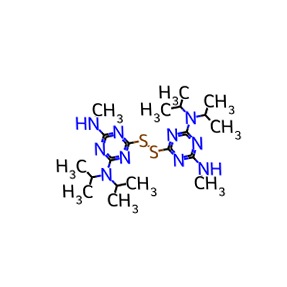 CNc1nc(SSc2nc(NC)nc(N(C(C)C)C(C)C)n2)nc(N(C(C)C)C(C)C)n1